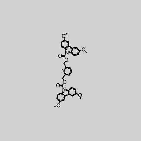 COc1ccc2c(c1)c1cc(OC)ccc1n2C(=O)OCc1cccc(COC(=O)n2c3ccc(OC)cc3c3cc(OC)ccc32)n1